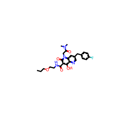 CCCOCCNC(=O)c1c(O)c2ncc(Cc3ccc(F)cc3)cc2n(CC(=O)N(C)C)c1=O